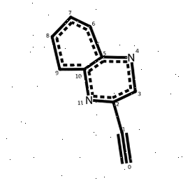 C#Cc1cnc2ccccc2n1